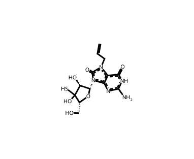 C=CCn1c(=O)n([C@@H]2O[C@H](CO)C(O)(S)[C@H]2O)c2nc(N)[nH]c(=O)c21